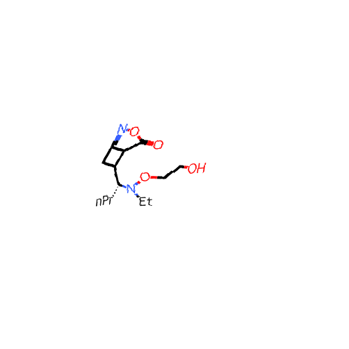 CCC[C@H](C1CC2=NOC(=O)C21)N(CC)OCCO